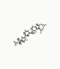 COCc1nc2cnc(Nc3ccnc(-c4cnn(S(=O)(=O)C5CC5)c4)n3)cc2n1C(C)C